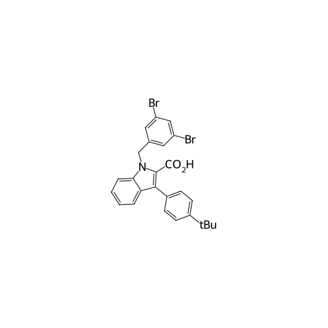 CC(C)(C)c1ccc(-c2c(C(=O)O)n(Cc3cc(Br)cc(Br)c3)c3ccccc23)cc1